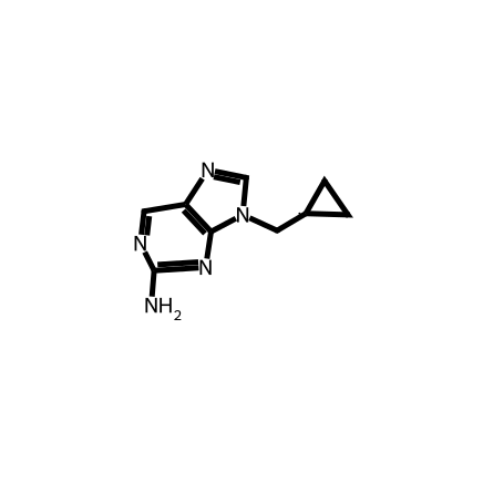 Nc1ncc2ncn(C[C]3CC3)c2n1